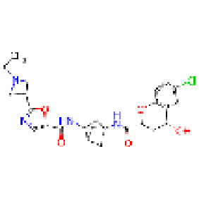 O=C(NC1CC2(NC(=O)[C@H]3C[C@@H](O)c4cc(Cl)ccc4O3)CC1C2)c1cnc(C2CN(CC(F)(F)F)C2)o1